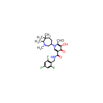 CC1N(C)CC(n2cc(C(=O)NCc3c(F)cc(F)cc3F)c(=O)c(O)c2C=O)CCC1(C)C